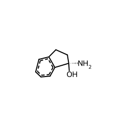 N[C@@]1(O)CCc2ccccc21